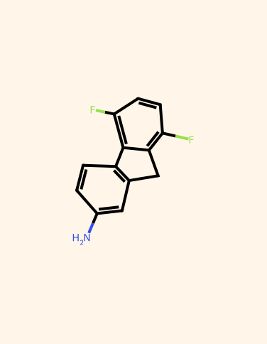 Nc1ccc2c(c1)Cc1c(F)ccc(F)c1-2